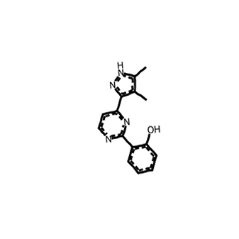 Cc1[nH]nc(-c2ccnc(-c3ccccc3O)n2)c1C